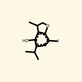 CC(C)c1cc(F)c2c(c1O)C(C)CO2